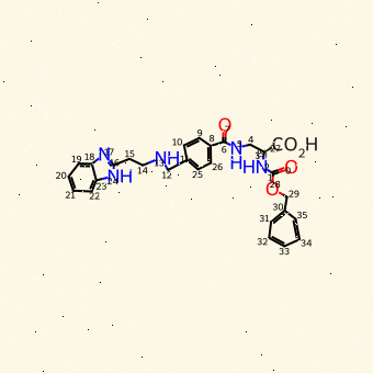 O=C(N[C@@H](CNC(=O)c1ccc(CNCCc2nc3ccccc3[nH]2)cc1)C(=O)O)OCc1ccccc1